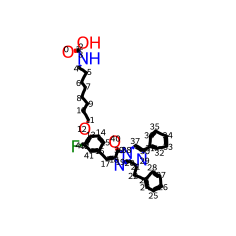 O=C(O)NCCCCCCCCOc1ccc(C=C2N=C3C(Cc4ccccc4)=NC(c4ccccc4)=CN3C2=O)cc1F